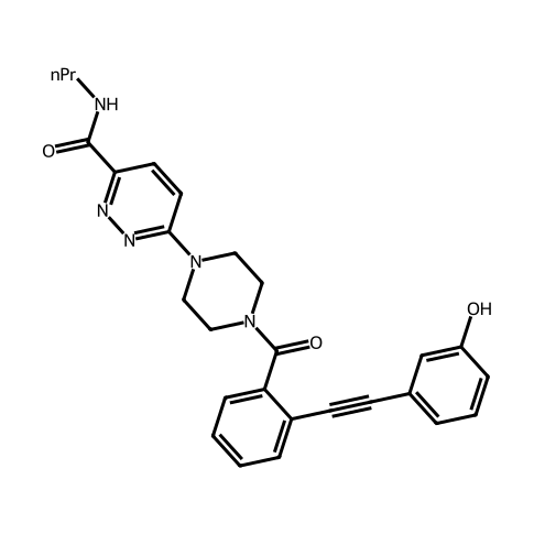 CCCNC(=O)c1ccc(N2CCN(C(=O)c3ccccc3C#Cc3cccc(O)c3)CC2)nn1